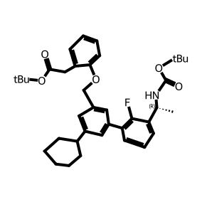 C[C@@H](NC(=O)OC(C)(C)C)c1cccc(-c2cc(COc3ccccc3CC(=O)OC(C)(C)C)cc(C3CCCCC3)c2)c1F